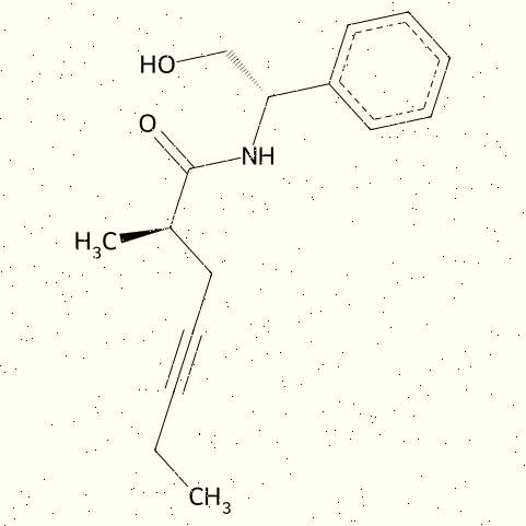 CCC#CC[C@@H](C)C(=O)N[C@H](CO)c1ccccc1